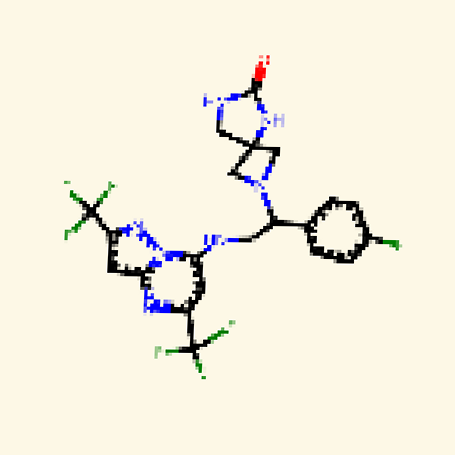 O=C1NCC2(CN(C(CNc3cc(C(F)(F)F)nc4cc(C(F)(F)F)nn34)c3ccc(F)cc3)C2)N1